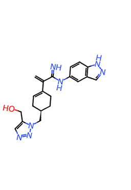 C=C(C(=N)Nc1ccc2[nH]ncc2c1)C1=CC[C@H](Cn2nncc2CO)CC1